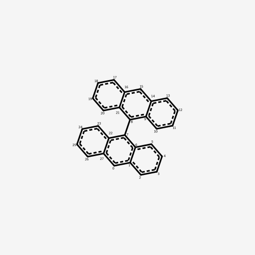 [c]1c2ccccc2c(-c2c3ccccc3[c]c3ccccc23)c2ccccc12